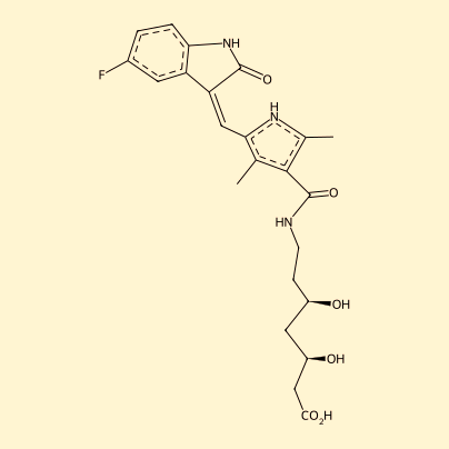 Cc1[nH]c(/C=C2\C(=O)Nc3ccc(F)cc32)c(C)c1C(=O)NCC[C@@H](O)C[C@@H](O)CC(=O)O